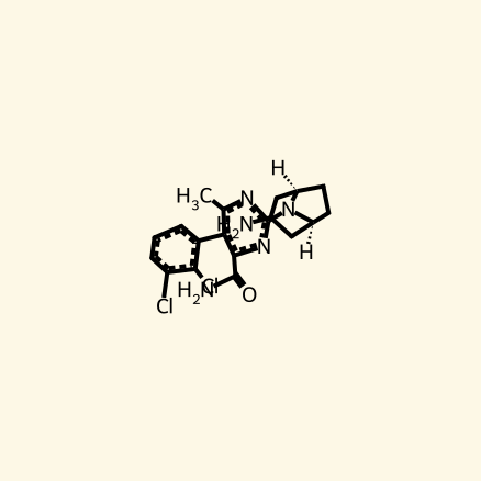 Cc1nc(N2[C@@H]3CC[C@H]2CC(N)C3)nc(C(N)=O)c1-c1cccc(Cl)c1Cl